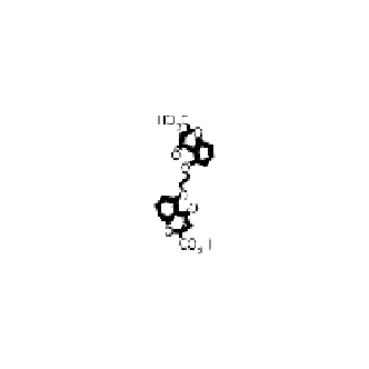 O=C(O)c1cc(=O)c2c(OCCOc3cccc4oc(C(=O)O)cc(=O)c34)cccc2o1